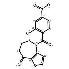 O=C1CCCN(C(=O)c2ccc([N+](=O)[O-])cc2Cl)c2ccsc21